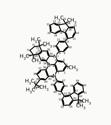 Cc1cc2c3c(c1)N(c1ccc(-c4cccc5c4-c4ccccc4C5(C)C)cc1)c1cc4c(cc1B3c1ccc(C(C)(C)C)cc1N2c1ccc(-c2cccc3c2-c2ccccc2C3(C)C)cc1)C(C)(C)CCC4(C)C